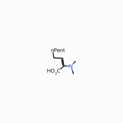 CCCCCC/C=C(\C(=O)O)N(C)C